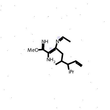 C=CC(C(C)C)C(C)CC(/N=C\C)=C(\N)C(=N)OC